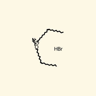 Br.CCCCCCCC/C=C\CCCCCCCCOCC(CN(C)C)OCCCCCCCC/C=C\CCCCCCCC